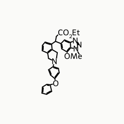 CCOC(=O)CC(c1cc(OC)c2c(c1)nnn2C)c1cccc2c1CCN(c1ccc(Oc3ccccc3)cc1)C2